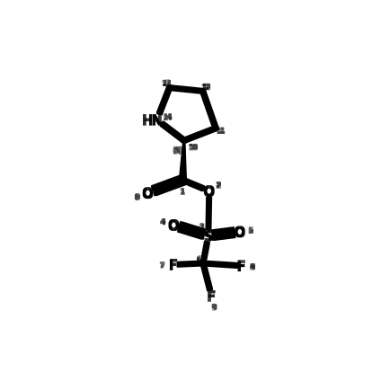 O=C(OS(=O)(=O)C(F)(F)F)[C@@H]1CCCN1